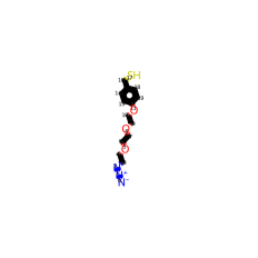 [N-]=[N+]=NCCOCCOCCOc1ccc(CS)cc1